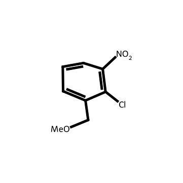 COCc1cccc([N+](=O)[O-])c1Cl